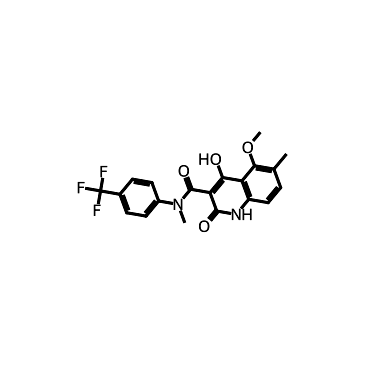 COc1c(C)ccc2[nH]c(=O)c(C(=O)N(C)c3ccc(C(F)(F)F)cc3)c(O)c12